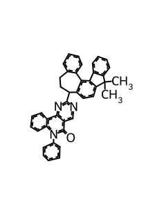 CC1(C)c2ccccc2-c2c1ccc1c2-c2ccccc2CCC1c1ncc2c(=O)n(-c3ccccc3)c3ccccc3c2n1